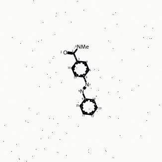 CNC(=O)c1ccc(N=Nc2ccccc2)cc1